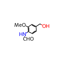 COc1cc(CO)ccc1NC=O